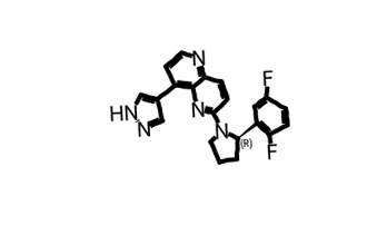 Fc1ccc(F)c([C@H]2CCCN2c2ccc3nccc(-c4cn[nH]c4)c3n2)c1